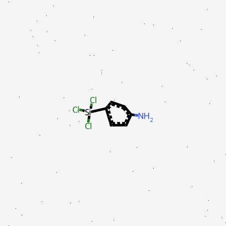 Nc1ccc([Si](Cl)(Cl)Cl)cc1